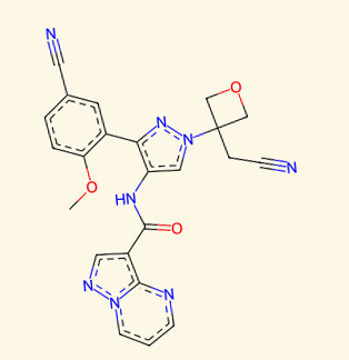 COc1ccc(C#N)cc1-c1nn(C2(CC#N)COC2)cc1NC(=O)c1cnn2cccnc12